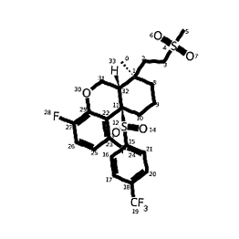 C[C@]1(CCS(C)(=O)=O)CCC[C@]2(S(=O)(=O)c3ccc(C(F)(F)F)cc3)c3c(F)ccc(F)c3OC[C@H]12